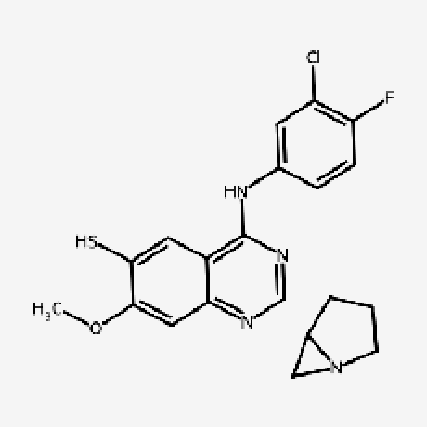 C1CC2CN2C1.COc1cc2ncnc(Nc3ccc(F)c(Cl)c3)c2cc1S